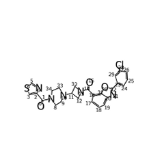 O=C(c1cscn1)N1CCN(C2CN(C(=O)c3cccc4nc(-c5cccc(Cl)c5)oc34)C2)CC1